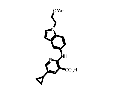 COCCn1ccc2cc(Nc3ncc(C4CC4)cc3C(=O)O)ccc21